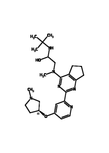 CN1CC[C@H](Oc2ccnc(-c3nc4c(c(N(C)CC(O)NC(C)(C)C)n3)CCC4)c2)C1